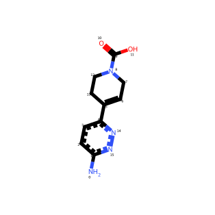 Nc1ccc(C2=CCN(C(=O)O)CC2)nn1